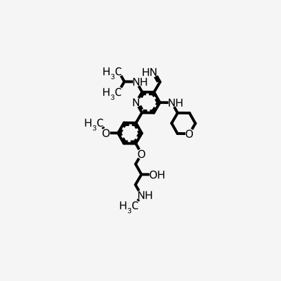 CNCC(O)COc1cc(OC)cc(-c2cc(NC3CCOCC3)c(C=N)c(NC(C)C)n2)c1